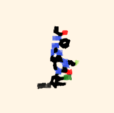 C=CC(=O)Nc1ccccc1Nc1ncc2c(n1)N(CCF)C(=O)N(c1cc(OC)cc(C)c1Cl)C2